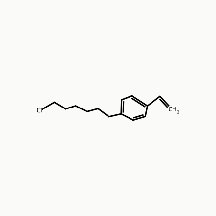 C=Cc1ccc(CCCCCCCl)cc1